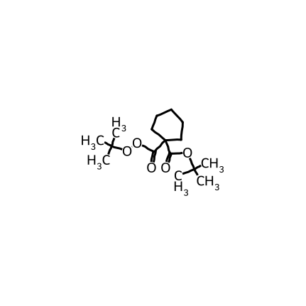 CC(C)(C)OOC(=O)C1(C(=O)OC(C)(C)C)CCCCC1